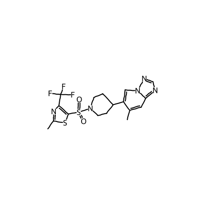 Cc1nc(C(F)(F)F)c(S(=O)(=O)N2CCC(c3cn4ncnc4cc3C)CC2)s1